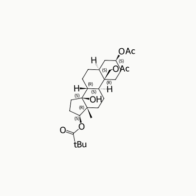 CC(=O)OC[C@]12CC[C@H](OC(C)=O)C[C@@H]1CC[C@@H]1[C@@H]2CC[C@]2(C)[C@@H](OC(=O)C(C)(C)C)CC[C@]12O